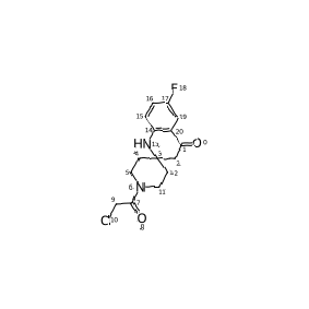 O=C1CC2(CCN(C(=O)CCl)CC2)Nc2ccc(F)cc21